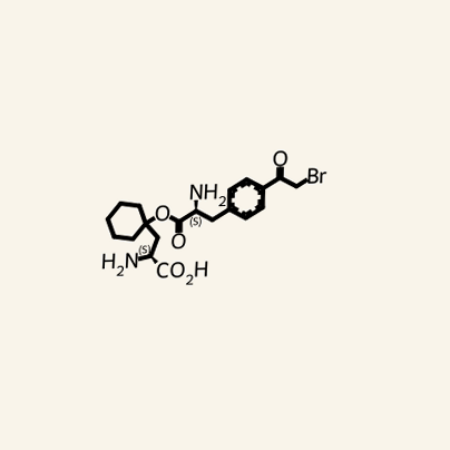 N[C@@H](CC1(OC(=O)[C@@H](N)Cc2ccc(C(=O)CBr)cc2)CCCCC1)C(=O)O